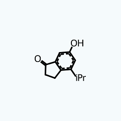 CC(C)c1cc(O)cc2c1CCC2=O